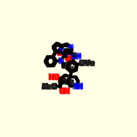 COc1cc([C@]2(CC(O)OC)CCNC[C@H]2CC(O)OC)ccc1Nc1ncc2ccc(-c3ccccc3N(C)S(C)(=O)=O)n2n1